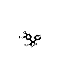 Nc1n[nH]c(-c2ccncc2)c1-c1ccc(Cl)c(O)c1